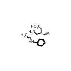 C/C=N/Nc1ccccc1.CC(C)C[C@H](CN)CC(=O)O